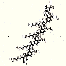 COc1ccc(OC(=O)[C@H](CCCCN)NC(=O)c2cc(NC(=O)[C@H](CCCCN)NC(=O)c3cc(NC(=O)[C@H](CCCCN)NC(=O)c4cc(NC(=O)[C@@H](N)CCCCN)ccc4OC)ccc3OC)ccc2OC)cc1C(=O)N[C@@H](CCC(=O)O)C(C)=O